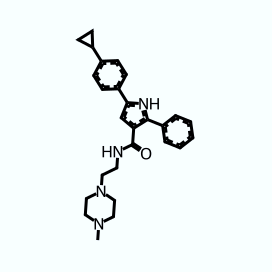 CN1CCN(CCNC(=O)c2cc(-c3ccc(C4CC4)cc3)[nH]c2-c2ccccc2)CC1